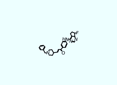 O=C(C=CC1CCN(Cc2ccccc2)CC1)c1ccc(Nc2ncnc3c2CCC3F)cc1